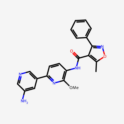 COc1nc(-c2cncc(N)c2)ccc1NC(=O)c1c(-c2ccccc2)noc1C